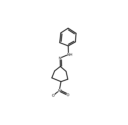 O=[N+]([O-])C1CCC(=NNc2ccccc2)CC1